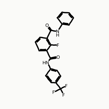 O=C(Nc1ccccc1)c1cccc(C(=O)Nc2ccc(C(F)(F)F)cc2)c1F